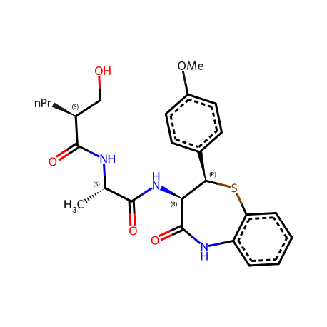 CCC[C@@H](CO)C(=O)N[C@@H](C)C(=O)N[C@@H]1C(=O)Nc2ccccc2S[C@@H]1c1ccc(OC)cc1